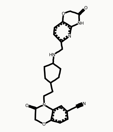 N#Cc1ccc2c(c1)N(CCC1CCC(NCc3ccc4c(n3)NC(=O)CO4)CC1)C(=O)CO2